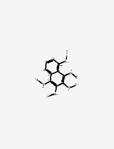 FSc1c(SF)c(SF)c2c(SF)cccc2c1SF